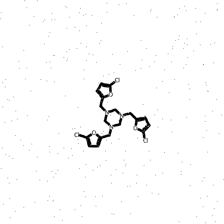 Clc1ccc(CN2CN(Cc3ccc(Cl)o3)CN(Cc3ccc(Cl)o3)C2)o1